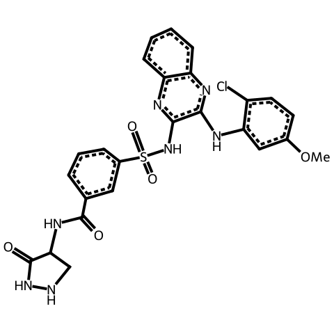 COc1ccc(Cl)c(Nc2nc3ccccc3nc2NS(=O)(=O)c2cccc(C(=O)NC3CNNC3=O)c2)c1